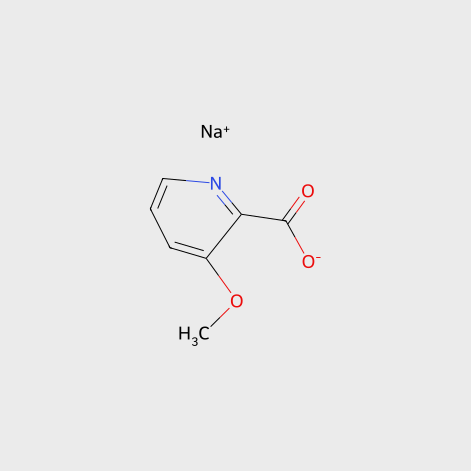 COc1cccnc1C(=O)[O-].[Na+]